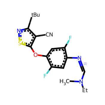 CCN(C)/C=N\c1cc(F)c(Oc2snc(C(C)(C)C)c2C#N)cc1F